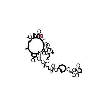 COc1cc2cc(c1Cl)N(C)C(=O)[C@H](OC(=O)[C@H](C)N(C)C(=O)CCOC(=O)N(C)CCN(C)C(=O)OC1/C=C/CC(OCC(=O)ON3C(=O)CCC3=O)CCC1)[C@]1(C)OC1[C@H](C)[C@@H]1C[C@@](O)(NC(=O)O1)[C@H](OC)/C=C/C=C(\C)C2